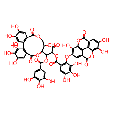 O=CC(OC(=O)c1cc(O)c(O)c(O)c1Oc1cc2c(=O)oc3c(O)c(O)cc4c(=O)oc(c1O)c2c34)C(OC(=O)c1cc(O)c(O)c(O)c1)C1OC(=O)c2cc(O)c(O)c(O)c2-c2c(cc(O)c(O)c2O)C(=O)OCC1O